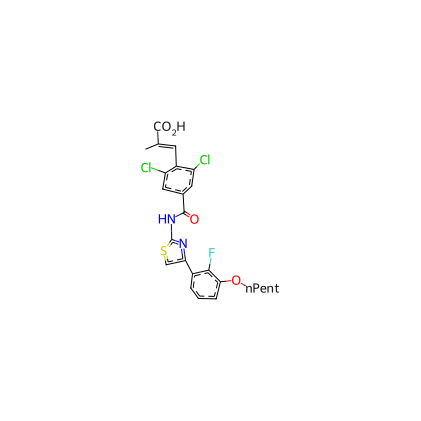 CCCCCOc1cccc(-c2csc(NC(=O)c3cc(Cl)c(C=C(C)C(=O)O)c(Cl)c3)n2)c1F